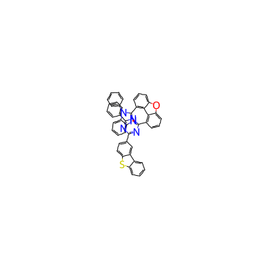 c1ccc(-c2nc(-c3ccc4sc5ccccc5c4c3)nc(-c3cccc4oc5cccc(-c6nc7ccccc7n6-c6ccccc6)c5c34)n2)cc1